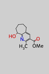 COC(=O)c1cc2c(nc1C)C(O)CCCC2